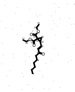 CCCCCCC(=O)C=CC1CC1(C(=O)OCC)C(=O)OCC